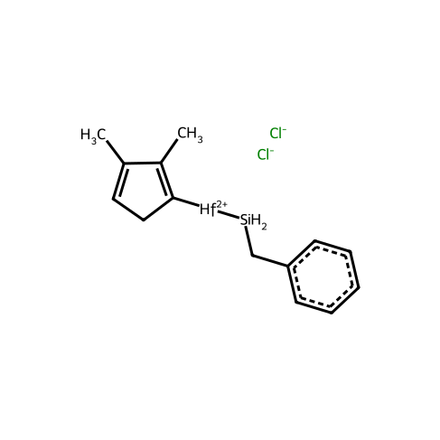 CC1=CC[C]([Hf+2][SiH2]Cc2ccccc2)=C1C.[Cl-].[Cl-]